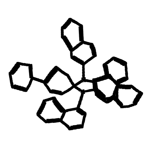 C1=CC(N(c2ccc3ccccc3c2)c2cccc3ccccc23)(N(c2ccc3ccccc3c2)c2cccc3ccccc23)CC=C1c1ccccc1